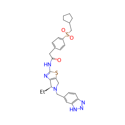 CC[C@H]1c2nc(NC(=O)Cc3ccc(S(=O)(=O)CC4CCCC4)cc3)sc2CN1Cc1ccc2nn[nH]c2c1